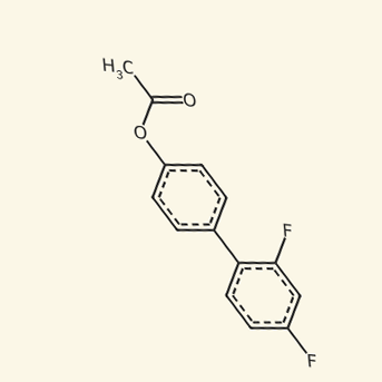 CC(=O)Oc1ccc(-c2ccc(F)cc2F)cc1